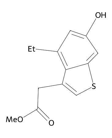 CCc1cc(O)cc2scc(CC(=O)OC)c12